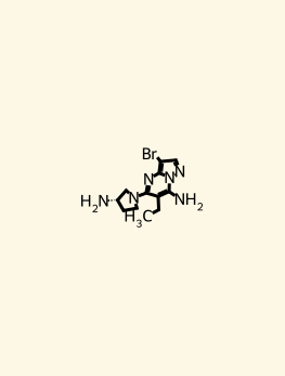 CCc1c(N2CC[C@H](N)C2)nc2c(Br)cnn2c1N